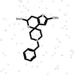 COc1cc2c(s1)CC(OC)OC21CCN(Cc2ccccc2)CC1